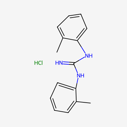 Cc1ccccc1NC(=N)Nc1ccccc1C.Cl